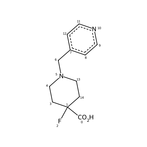 O=C(O)C1(F)CCN(Cc2ccncc2)CC1